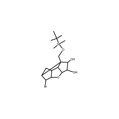 CC(C)(C)[Si](C)(C)OCC12C(O)C(O)C3OC4C(Br)C1CC4C32